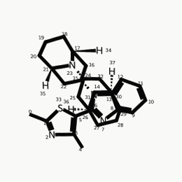 Cc1nc(C)c(-c2nc3ccccc3n2[C@H]2C[C@H]3CCC[C@@H](C2)N3[C@H]2C[C@@H]3CCC[C@@H](C3)C2)s1